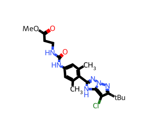 COC(=O)CCNC(=O)Nc1cc(C)c(-c2nn3nc(C(C)(C)C)c(Cl)c3[nH]2)c(C)c1